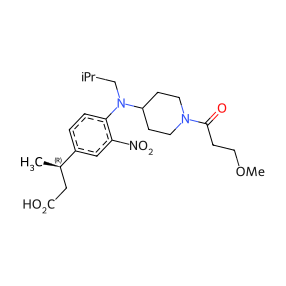 COCCC(=O)N1CCC(N(CC(C)C)c2ccc([C@H](C)CC(=O)O)cc2[N+](=O)[O-])CC1